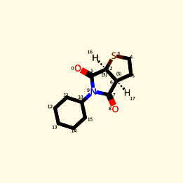 O=C1[C@H]2SC[CH][C@H]2C(=O)N1C1CCCCC1